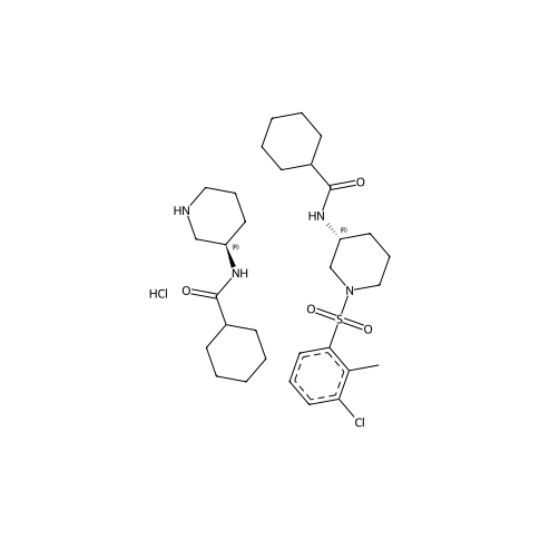 Cc1c(Cl)cccc1S(=O)(=O)N1CCC[C@@H](NC(=O)C2CCCCC2)C1.Cl.O=C(N[C@@H]1CCCNC1)C1CCCCC1